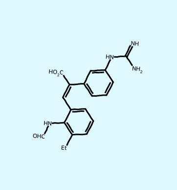 CCc1cccc(C=C(C(=O)O)c2cccc(NC(=N)N)c2)c1NC=O